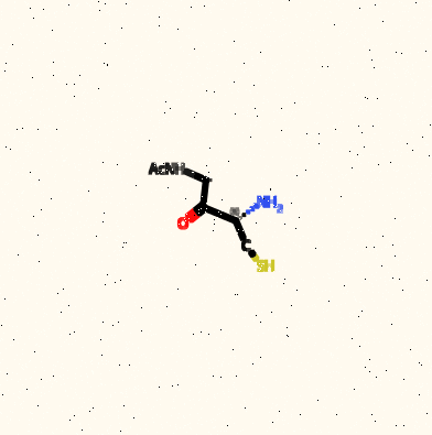 CC(=O)N[CH]C(=O)[C@H](N)CS